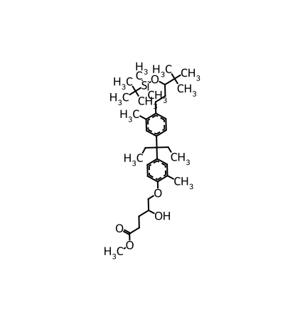 CCC(CC)(c1ccc(CCC(O[Si](C)(C)C(C)(C)C)C(C)(C)C)c(C)c1)c1ccc(OCC(O)CCC(=O)OC)c(C)c1